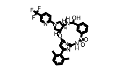 Cc1cccc(C)c1-c1cc2nc(n1)NS(=O)(=O)c1cccc(c1)C(O)N[C@@H]1CN(c3ccc(C(F)(F)F)cn3)C[C@H]1O2